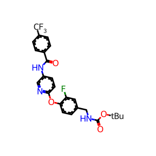 CC(C)(C)OC(=O)NCc1ccc(Oc2ccc(NC(=O)c3ccc(C(F)(F)F)cc3)cn2)c(F)c1